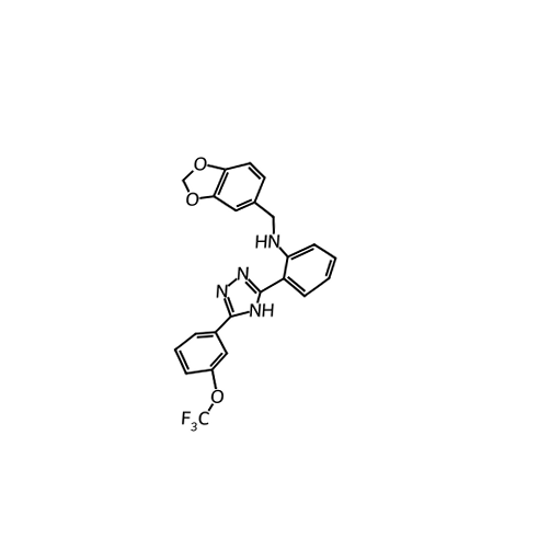 FC(F)(F)Oc1cccc(-c2nnc(-c3ccccc3NCc3ccc4c(c3)OCO4)[nH]2)c1